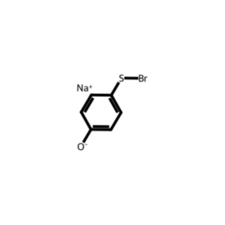 [Na+].[O-]c1ccc(SBr)cc1